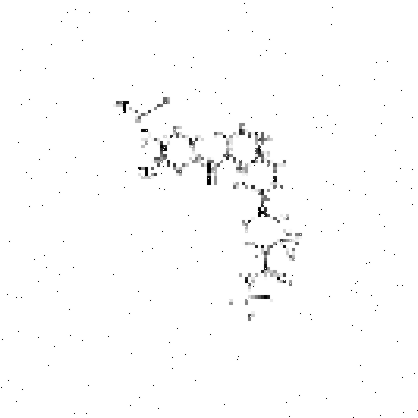 CC(C)(C)OC(=O)N1CCN(c2ccc3ncnc(Nc4ccc(OC(F)F)c(Cl)c4)c3n2)CC12CC2